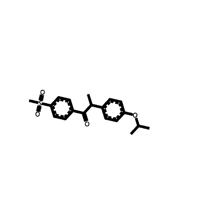 CC(C)Oc1ccc(C(C)C(=O)c2ccc(S(C)(=O)=O)cc2)cc1